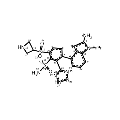 CCCn1c(N)nc2c(-c3ccc(S(=O)(=O)C4CNC4)c(S(N)(=O)=O)c3-c3nn[nH]n3)cccc21